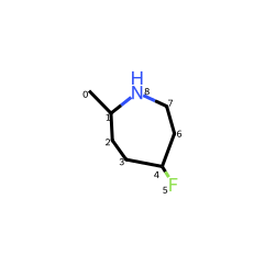 CC1CCC(F)CCN1